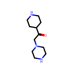 O=C(CN1CCNCC1)C1CCNCC1